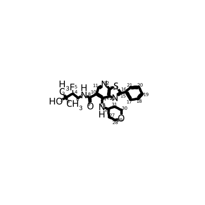 CC(C)(O)[C@H](F)CNC(=O)c1cnc2sc(-c3ccccc3)nc2c1NC1CCOCC1